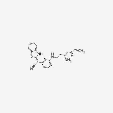 C=CN/C=C(\N)CCNc1nccc(/C(C#N)=C2\Nc3ccccc3S2)n1